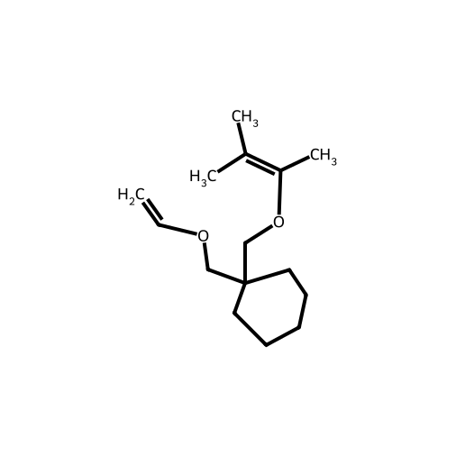 C=COCC1(COC(C)=C(C)C)CCCCC1